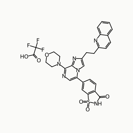 O=C(O)C(F)(F)F.O=C1NS(=O)(=O)c2cc(-c3cnc(N4CCOCC4)c4nc(CCc5ccc6ccccc6n5)cn34)ccc21